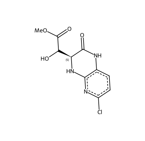 COC(=O)C(O)[C@@H]1Nc2nc(Cl)ccc2NC1=O